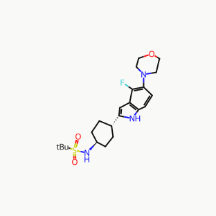 CC(C)(C)S(=O)(=O)N[C@H]1CC[C@H](c2cc3c(F)c(N4CCOCC4)ccc3[nH]2)CC1